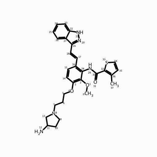 COc1c(OCCCN2CCC(N)C2)ccc(C=Cc2n[nH]c3ccccc23)c1NC(=O)c1sccc1C